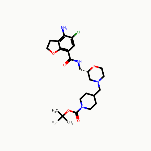 CC(C)(C)OC(=O)N1CCC(CN2CCO[C@@H](CNC(=O)c3cc(Cl)c(N)c4c3OCC4)C2)CC1